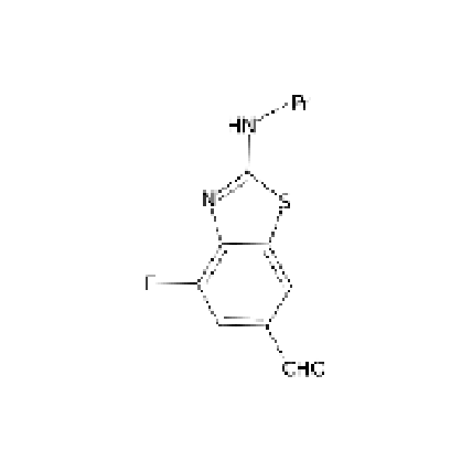 CC(C)Nc1nc2c(F)cc(C=O)cc2s1